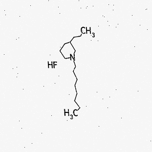 CCCCCCCCN1CCCC(CCC)C1.F